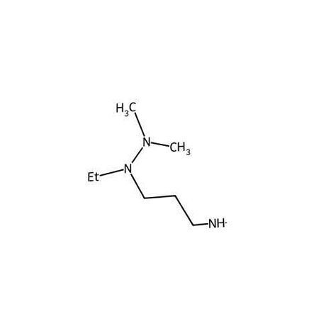 CCN(CCC[NH])N(C)C